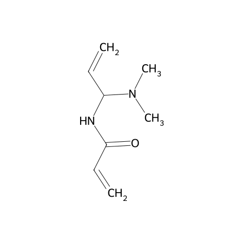 C=CC(=O)NC(C=C)N(C)C